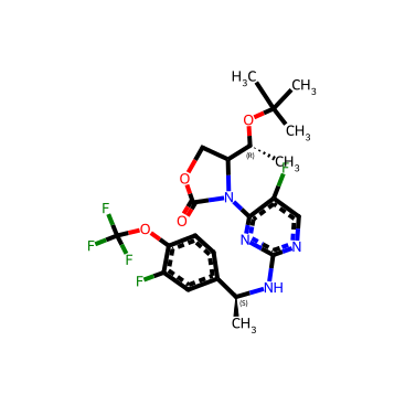 C[C@H](Nc1ncc(F)c(N2C(=O)OCC2[C@@H](C)OC(C)(C)C)n1)c1ccc(OC(F)(F)F)c(F)c1